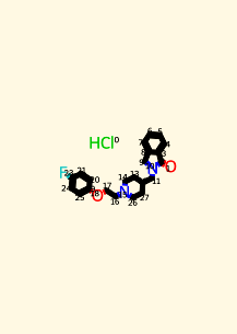 Cl.O=C1c2ccccc2CN1CC1CCN(CCOc2ccc(F)cc2)CC1